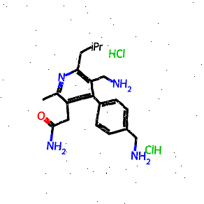 Cc1nc(CC(C)C)c(CN)c(-c2ccc(CN)cc2)c1CC(N)=O.Cl.Cl